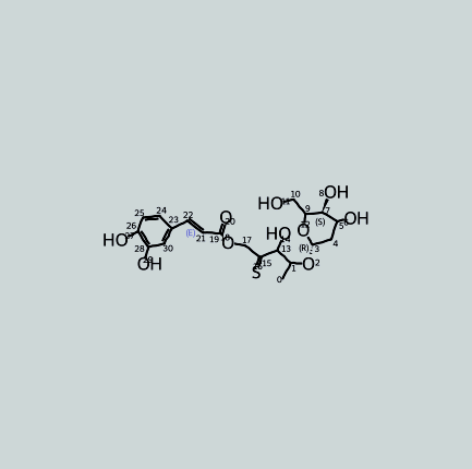 CC(O[C@H]1CC(O)[C@H](O)C(CO)O1)C(O)C(=S)COC(=O)/C=C/c1ccc(O)c(O)c1